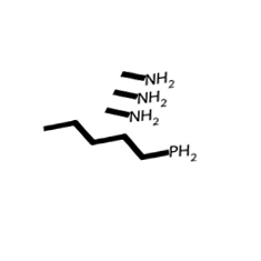 CCCCCP.CN.CN.CN